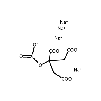 O=C([O-])CC(CC(=O)[O-])(OS(=O)[O-])C(=O)[O-].[Na+].[Na+].[Na+].[Na+]